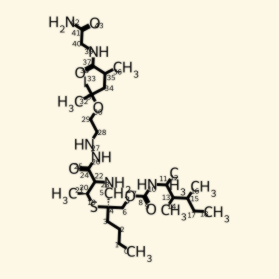 CCCC[C@](C)(COC(=O)NC(C)C(C)C(C)CC)S[C@@H](C)C(N)C(=O)NNCCOC(C)(I)CC(C)C(=O)NCC(N)=O